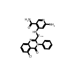 C[C@@H](Nc1cc(N)ncc1C(N)=O)c1nc2cccc(Cl)c2c(=O)n1-c1ccccc1